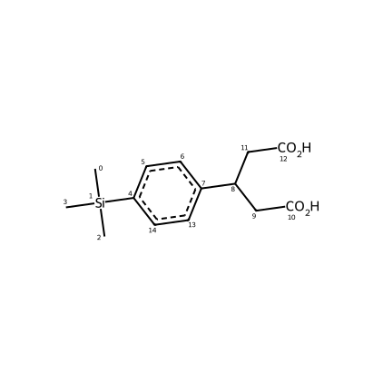 C[Si](C)(C)c1ccc(C(CC(=O)O)CC(=O)O)cc1